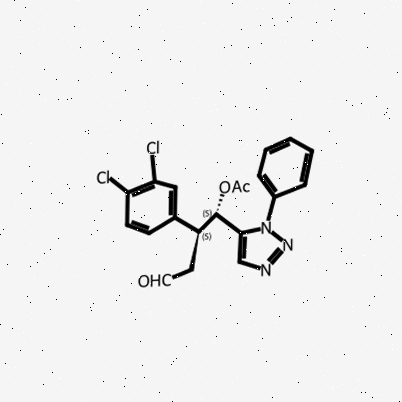 CC(=O)O[C@H](c1cnnn1-c1ccccc1)[C@@H](CC=O)c1ccc(Cl)c(Cl)c1